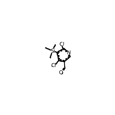 C[Si](C)(C)c1c(Cl)ncc(C=O)c1Cl